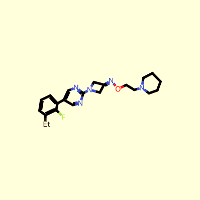 CCc1cccc(-c2cnc(N3CC(=NOCCN4CCCCC4)C3)nc2)c1F